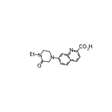 CCN1CCN(c2ccc3ccc(C(=O)O)nc3c2)CC1=O